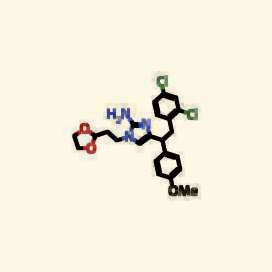 COc1ccc(C(Cc2ccc(Cl)cc2Cl)c2cn(CCC3OCCO3)c(N)n2)cc1